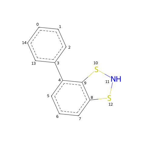 c1ccc(-c2cccc3c2SNS3)cc1